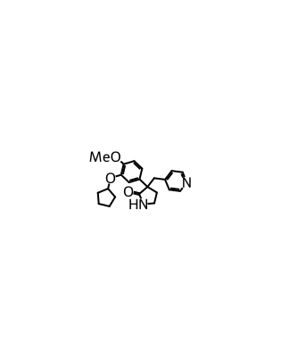 COc1ccc(C2(Cc3ccncc3)CCNC2=O)cc1OC1CCCC1